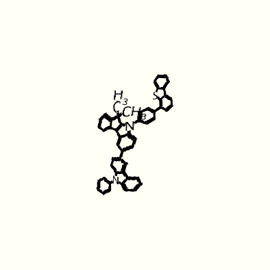 CC1(C)c2ccccc2-c2c1n(-c1ccc(-c3cccc4c3sc3ccccc34)cc1)c1ccc(-c3ccc4c(c3)c3ccccc3n4-c3ccccc3)cc21